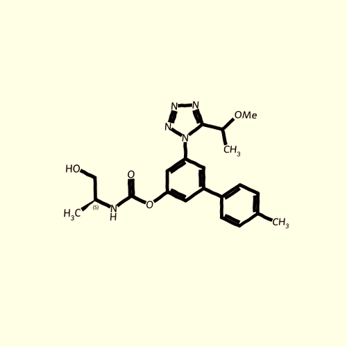 COC(C)c1nnnn1-c1cc(OC(=O)N[C@@H](C)CO)cc(-c2ccc(C)cc2)c1